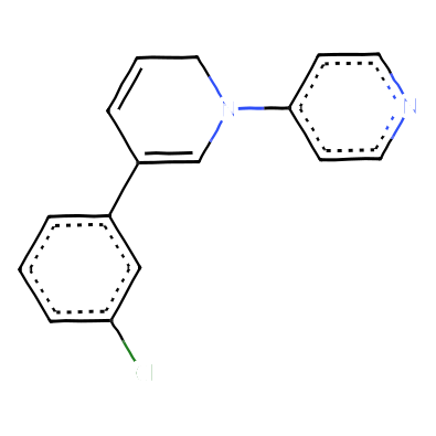 Clc1cccc(C2=CN(c3ccncc3)CC=C2)c1